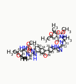 COC(=O)NC(C(=O)N1[C@@H](C)CC[C@H]1c1ncc(-c2ccc3c(c2)COc2cc4c(ccc5nc([C@@H]6CC[C@@H]7C[C@@H]8CC(C[C@@H](C)O8)[C@H](NC(=O)OC)C(=O)N76)[nH]c54)cc2-3)[nH]1)C1C[C@@H](C)O[C@H](C)C1